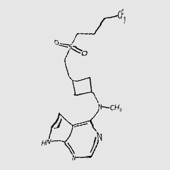 CN(c1ncnc2[nH]ccc12)C1CC(CS(=O)(=O)CCCC(F)(F)F)C1